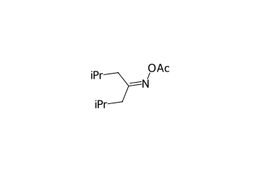 CC(=O)ON=C(CC(C)C)CC(C)C